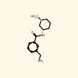 NCc1cccc(C(=O)N[C@H]2CCCN(C(=O)O)C2)c1